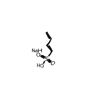 C=CC=CS(=O)(=O)O.[NaH]